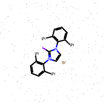 CC(C)c1cccc(C(C)C)c1-n1cc[n+](-c2c(C(C)C)cccc2C(C)C)c1I.[Br-]